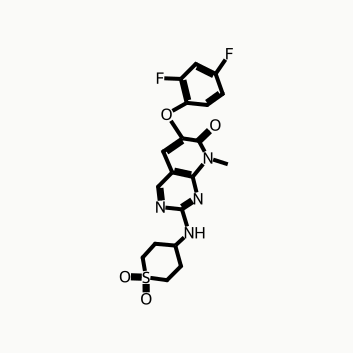 Cn1c(=O)c(Oc2ccc(F)cc2F)cc2cnc(NC3CCS(=O)(=O)CC3)nc21